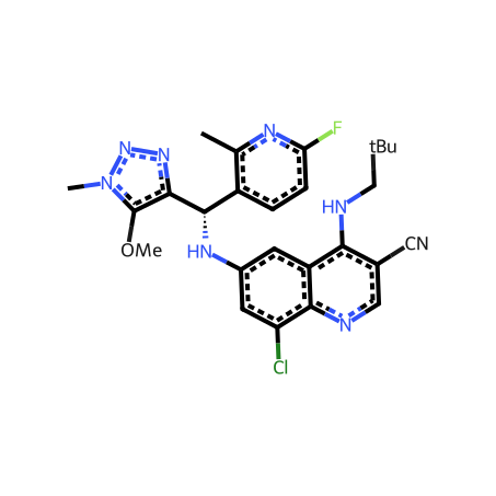 COc1c([C@@H](Nc2cc(Cl)c3ncc(C#N)c(NCC(C)(C)C)c3c2)c2ccc(F)nc2C)nnn1C